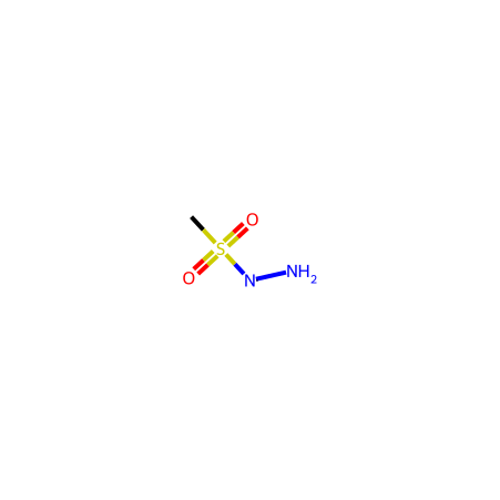 CS(=O)(=O)[N]N